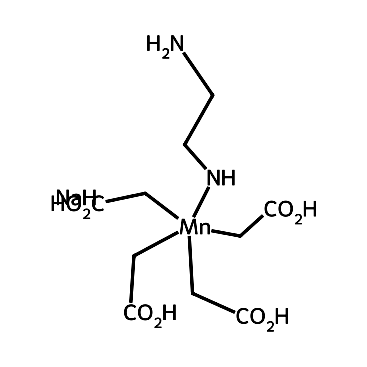 NCC[NH][Mn]([CH2]C(=O)O)([CH2]C(=O)O)([CH2]C(=O)O)[CH2]C(=O)O.[NaH]